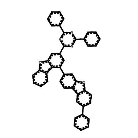 c1ccc(-c2ccc3oc4cc(-c5cc(-c6nc(-c7ccccc7)nc(-c7ccccc7)n6)cc6oc7ccccc7c56)ccc4c3c2)cc1